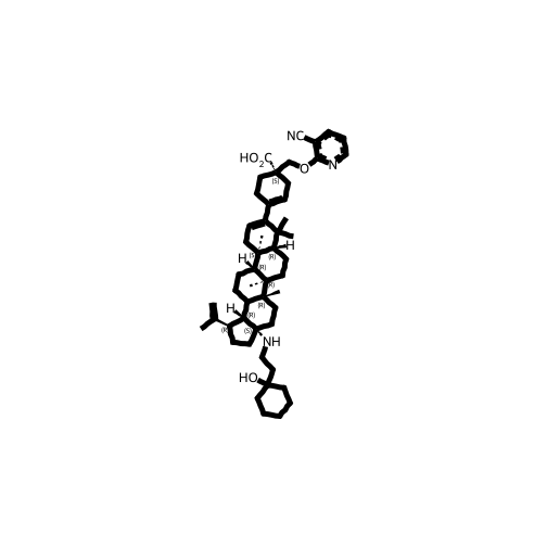 C=C(C)[C@@H]1CC[C@]2(NCCC3(O)CCCCC3)CC[C@]3(C)C(CC[C@@H]4[C@@]5(C)CC=C(C6=CC[C@@](COc7ncccc7C#N)(C(=O)O)CC6)C(C)(C)[C@@H]5CC[C@]43C)[C@@H]12